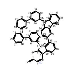 C=C/C=C\c1c(C)n(-c2cccc(-c3ccccc3)c2)c2c(-c3ccc4c(c3)c3ncccc3n4-c3cccc(-c4ccccc4)c3)cccc12